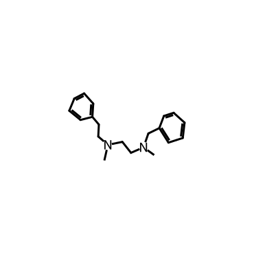 CN(CCc1ccccc1)CCN(C)Cc1ccccc1